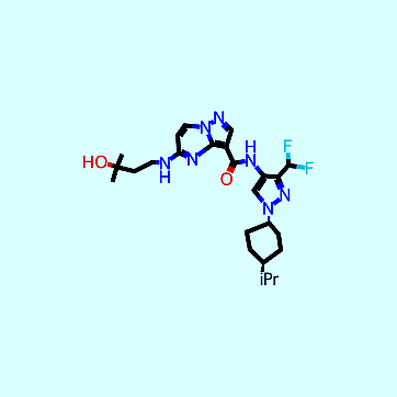 CC(C)[C@H]1CC[C@H](n2cc(NC(=O)c3cnn4ccc(NCCC(C)(C)O)nc34)c(C(F)F)n2)CC1